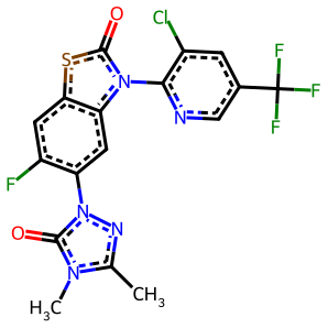 Cc1nn(-c2cc3c(cc2F)sc(=O)n3-c2ncc(C(F)(F)F)cc2Cl)c(=O)n1C